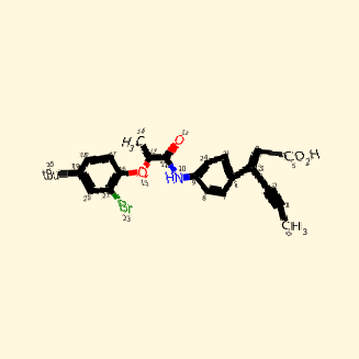 CC#CC(CC(=O)O)c1ccc(NC(=O)C(C)Oc2ccc(C(C)(C)C)cc2Br)cc1